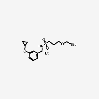 CC[C@@H](NS(=O)(=O)CCCOCC(C)(C)C)c1cccc(OC2CC2)c1